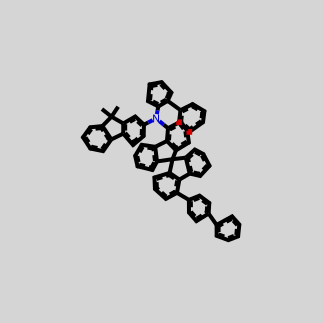 CC1(C)c2ccccc2-c2ccc(N(c3ccccc3-c3ccccc3)c3cccc4c3-c3ccccc3C43c4ccccc4-c4c(-c5ccc(-c6ccccc6)cc5)cccc43)cc21